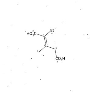 CCC(C(=O)O)=C(C)CC(=O)O